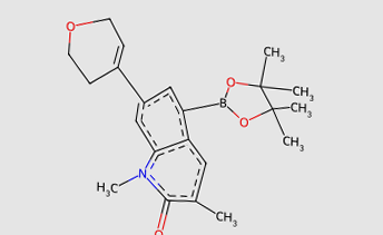 Cc1cc2c(B3OC(C)(C)C(C)(C)O3)cc(C3=CCOCC3)cc2n(C)c1=O